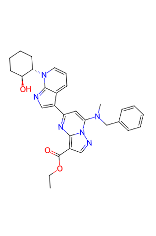 CCOC(=O)c1cnn2c(N(C)Cc3ccccc3)cc(-c3cnc4n([C@H]5CCCC[C@@H]5O)cccc3-4)nc12